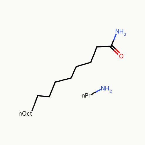 CCCCCCCCCCCCCCCC(N)=O.CCCN